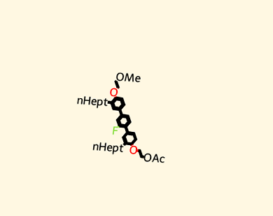 CCCCCCCC1=CC(c2ccc(-c3ccc(OCCOC)c(CCCCCCC)c3)cc2F)=CCC1OCCOC(C)=O